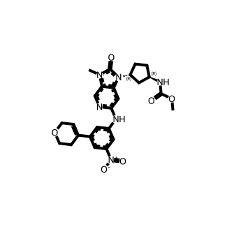 COC(=O)N[C@@H]1CC[C@@H](n2c(=O)n(C)c3cnc(Nc4cc(C5=CCOCC5)cc([N+](=O)[O-])c4)cc32)C1